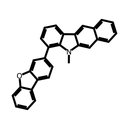 Cn1c2cc3ccccc3cc2c2cccc(-c3ccc4c(c3)oc3ccccc34)c21